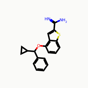 N=C(N)c1cc2c(OC(c3ccccc3)C3CC3)cccc2s1